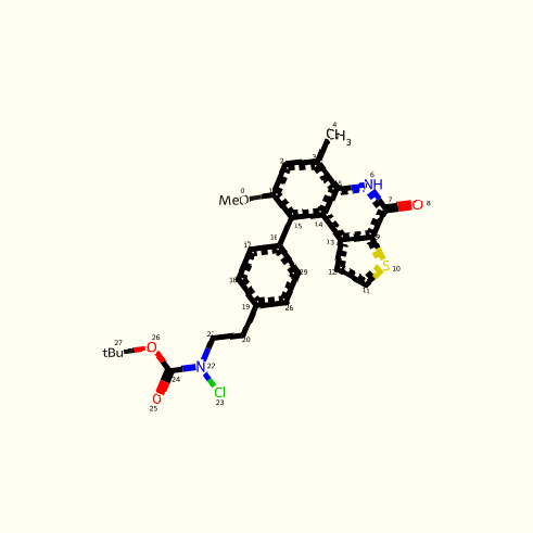 COc1cc(C)c2[nH]c(=O)c3sccc3c2c1-c1ccc(CCN(Cl)C(=O)OC(C)(C)C)cc1